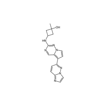 CC1(O)CC(Nc2ncc3c(-c4ccc5nccn5n4)ccn3n2)C1